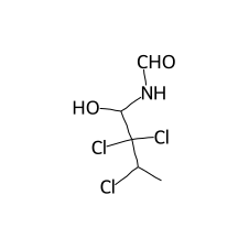 CC(Cl)C(Cl)(Cl)C(O)NC=O